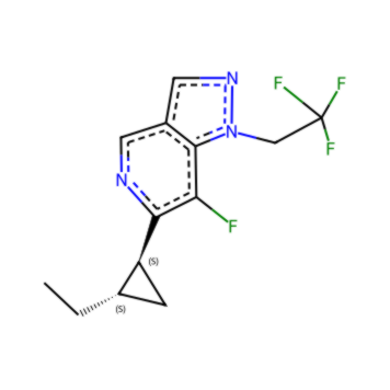 CC[C@H]1C[C@@H]1c1ncc2cnn(CC(F)(F)F)c2c1F